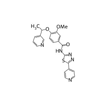 COc1cc(C(=O)Nc2nnc(-c3ccncc3)s2)ccc1OC(C)c1cccnc1